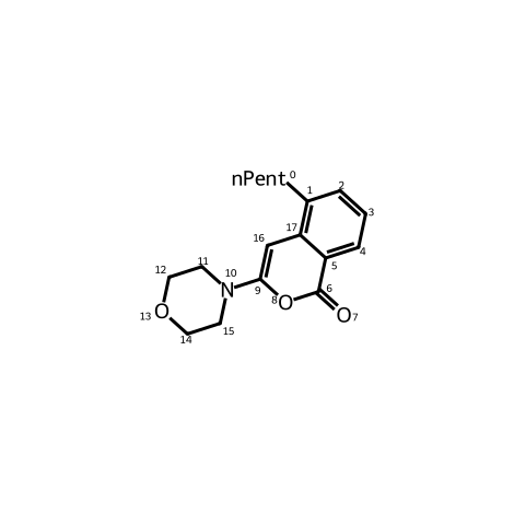 CCCCCc1cccc2c(=O)oc(N3CCOCC3)cc12